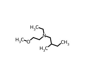 CCC(C)CN(CC)CCOC